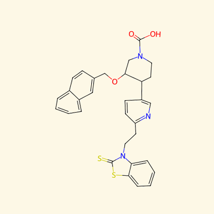 O=C(O)N1CCC(c2ccc(CCn3c(=S)sc4ccccc43)nc2)C(OCc2ccc3ccccc3c2)C1